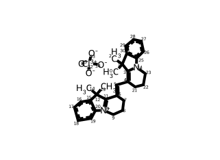 CC1(C)C2=C(C=C3CCC[N+]4=C3C(C)(C)c3ccccc34)CCCN2c2ccccc21.[O-][Cl+3]([O-])([O-])[O-]